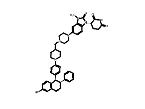 Cn1c(=O)n([C@H]2CCC(=O)NC2=O)c2ccc(N3CCN(CC4CCN(c5ccc([C@@H]6c7ccc(O)cc7CC[C@@H]6c6ccccc6)cc5)CC4)CC3)cc21